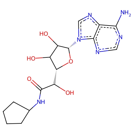 Nc1ncnc2c1ncn2[C@@H]1O[C@H](C(O)C(=O)NC2CCCC2)C(O)C1O